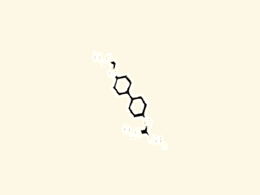 C=COC1CCC(C2CCC(OC(=C)C)CC2)CC1